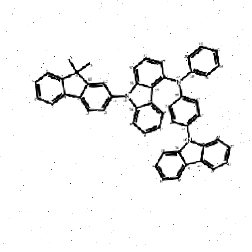 CC1(C)c2ccccc2-c2ccc(-n3c4ccccc4c4c(N(c5ccccc5)c5ccc(-n6c7ccccc7c7ccccc76)cc5)cccc43)cc21